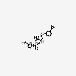 CC(=O)c1ccn(C(=O)N2C[C@H]3C[C@H](Oc4cccc(C5CC5)c4)C[C@H]3C2)n1